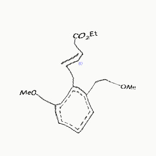 CCOC(=O)/C=C/c1c(COC)cccc1OC